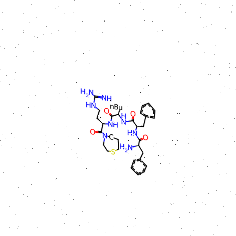 CCCC[C@@H](NC(=O)[C@@H](Cc1ccccc1)NC(=O)[C@H](N)Cc1ccccc1)C(=O)N[C@H](CCNC(=N)N)C(=O)N1CCCSCC1